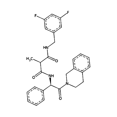 CC(C(=O)NCc1cc(F)cc(F)c1)C(=O)N[C@@H](C(=O)N1CCc2ccccc2C1)c1ccccc1